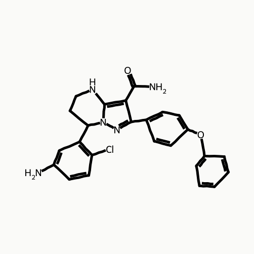 NC(=O)c1c(-c2ccc(Oc3ccccc3)cc2)nn2c1NCCC2c1cc(N)ccc1Cl